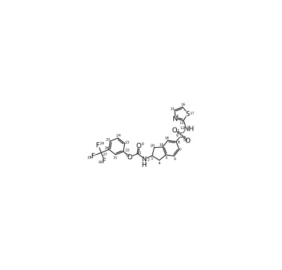 O=C(NC1Cc2ccc(S(=O)(=O)Nc3nccs3)cc2C1)Oc1cccc(C(F)(F)F)c1